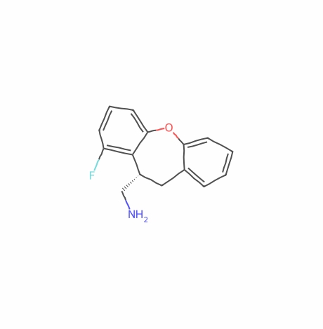 NC[C@H]1Cc2ccccc2Oc2cccc(F)c21